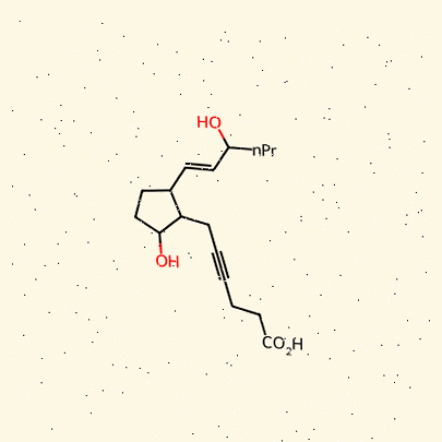 CCCC(O)C=CC1CCC(O)C1CC#CCCC(=O)O